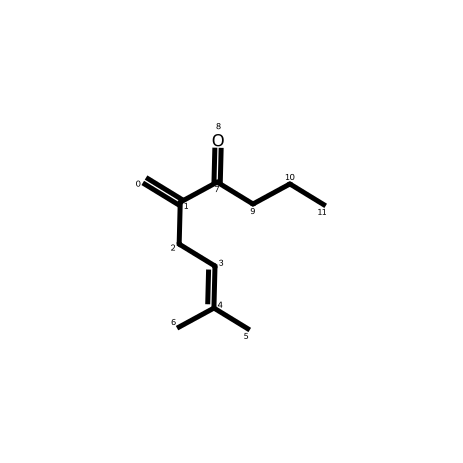 C=C(CC=C(C)C)C(=O)CCC